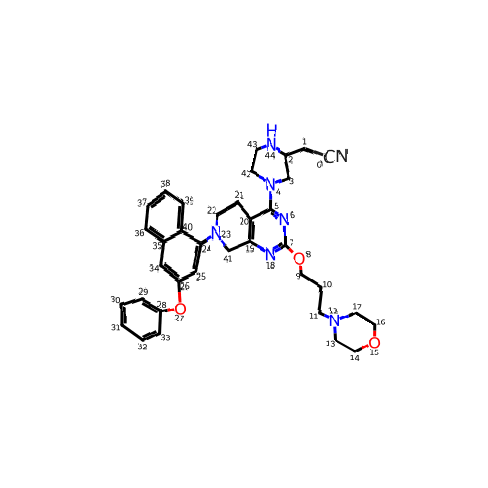 N#CCC1CN(c2nc(OCCCN3CCOCC3)nc3c2CCN(c2cc(Oc4ccccc4)cc4ccccc24)C3)CCN1